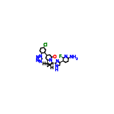 Nc1ccc(-c2c[nH]c([C@@H]3[C@@H]4C[C@@H]4c4cc(-c5cc(Cl)ccc5-n5cnnn5)cc(=O)n43)n2)c(F)n1